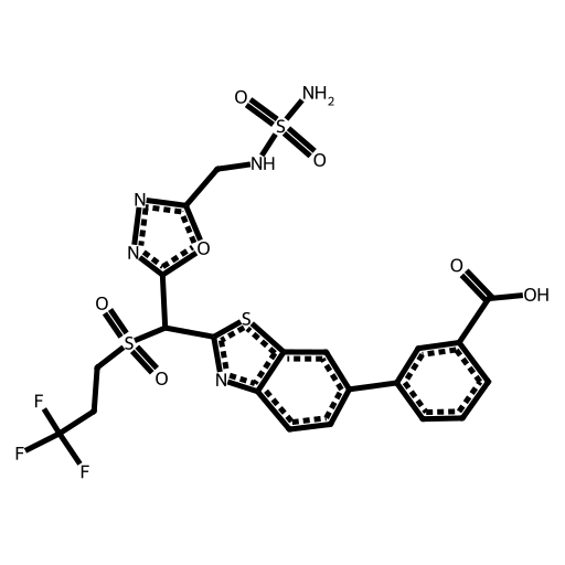 NS(=O)(=O)NCc1nnc(C(c2nc3ccc(-c4cccc(C(=O)O)c4)cc3s2)S(=O)(=O)CCC(F)(F)F)o1